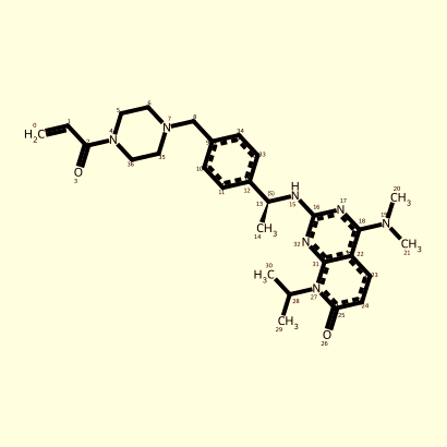 C=CC(=O)N1CCN(Cc2ccc([C@H](C)Nc3nc(N(C)C)c4ccc(=O)n(C(C)C)c4n3)cc2)CC1